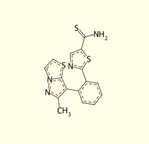 Cc1nn2ccsc2c1-c1ccccc1-c1ncc(C(N)=S)s1